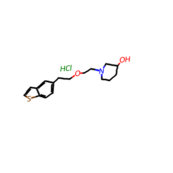 Cl.OC1CCCN(CCOCCc2ccc3sccc3c2)C1